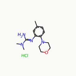 Cc1ccc(N2CCOCC2)c(/N=C(\N)N(C)C)c1.Cl